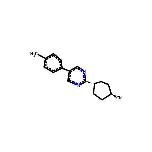 Cc1ccc(-c2cnc([C@H]3CC[C@H](C#N)CC3)nc2)cc1